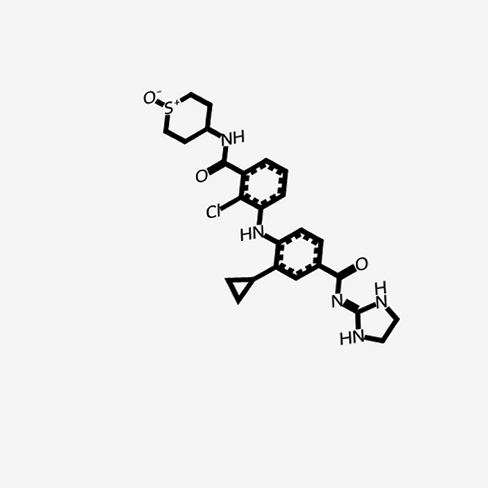 O=C(N=C1NCCN1)c1ccc(Nc2cccc(C(=O)NC3CC[S+]([O-])CC3)c2Cl)c(C2CC2)c1